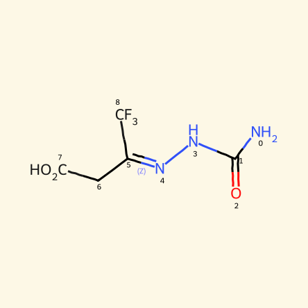 NC(=O)N/N=C(/CC(=O)O)C(F)(F)F